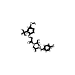 COc1ccc(OCC(=O)N2CC(C)N(Cc3ccc(F)cc3)CC2C)c(C(C)(C)C)c1